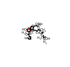 CO[C@H]1C[C@H]2C=C[C@@H]3C[C@]2(O[C@H]3[C@H](OC(=O)c2ccc[nH]2)[C@H](C)[C@H](C)O)/C(C)=C/[C@@H](C)[C@@H]([C@@H](C)OC(=O)OCC(C)(N)CO)OC1=O